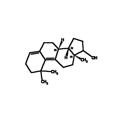 CC1(C)CCC=C2CC[C@@H]3C(=C21)CC[C@]1(C)C(O)CC[C@@H]31